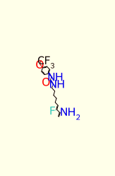 C=C(N)/C(F)=C/CCCCCNC(=O)Nc1ccc(OC(F)(F)F)cc1